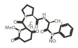 CON1C(=O)CCC(=O)[C@]1(C)C(=O)N1CCC[C@H]1C(=O)N[C@@H](C)C(=O)N([N+]=O)c1ccccc1